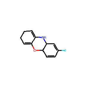 FC1=CC2NC3=CCCC=C3OC2C=C1